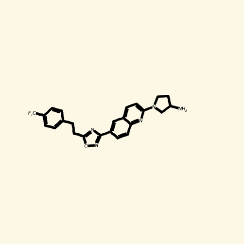 NC1CCN(c2ccc3cc(-c4noc(CCc5ccc(C(F)(F)F)cc5)n4)ccc3n2)C1